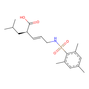 Cc1cc(C)c(S(=O)(=O)NC/C=C/[C@@H](CC(C)C)C(=O)O)c(C)c1